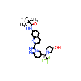 CC(C)(C)C(=O)Nc1ccc2ccc(-c3nnc4ccc([C@@H](N5CC[C@H](O)C5)C(F)(F)F)cn34)nc2c1